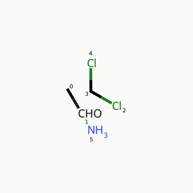 CC=O.ClCCl.N